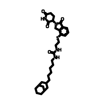 O=C1CCC(N2Cc3c(SCCNC(=O)NCCCCCCC4CC5CCCC(C4)C5)cccc3C2=O)C(=O)N1